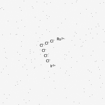 [Cl-].[Cl-].[Cl-].[Cl-].[Cl-].[Cl-].[Ir+3].[Ru+3]